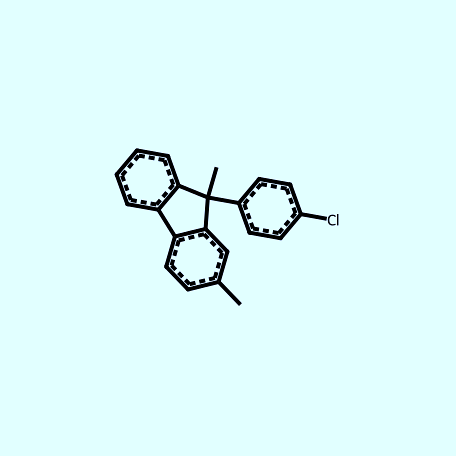 Cc1ccc2c(c1)C(C)(c1ccc(Cl)cc1)c1ccccc1-2